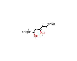 CCCCCCCCCCCC(O)CC(O)CCCCCCC